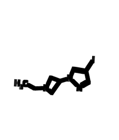 CCN1CC(n2cc(I)cn2)C1